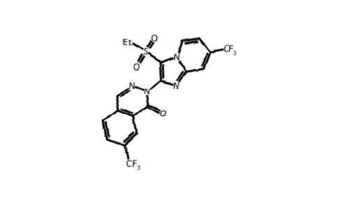 CCS(=O)(=O)c1c(-n2ncc3ccc(C(F)(F)F)cc3c2=O)nc2cc(C(F)(F)F)ccn12